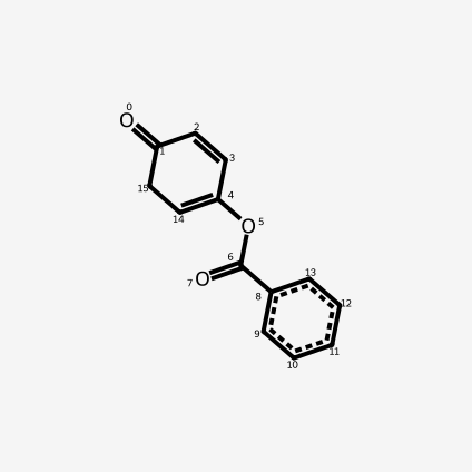 O=C1C=CC(OC(=O)c2ccccc2)=CC1